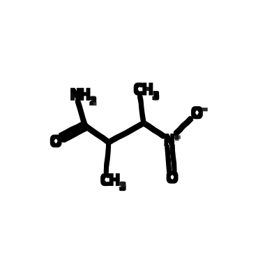 CC(C(N)=O)C(C)[N+](=O)[O-]